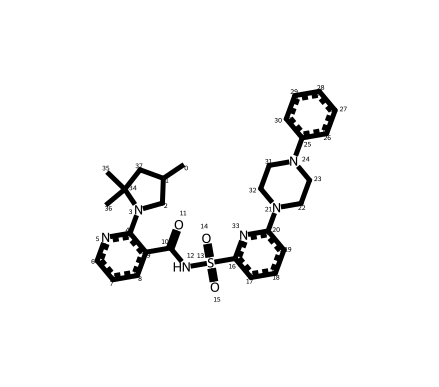 CC1CN(c2ncccc2C(=O)NS(=O)(=O)c2cccc(N3CCN(c4ccccc4)CC3)n2)C(C)(C)C1